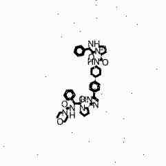 N[C@@H](C(=O)N1CCC[C@H]1C(=O)N[C@H]1CC[C@@H](c2ccc(-c3cnc([C@@H]4CCCN4C(=O)[C@H](NC(=O)N4CCOCC4)c4ccccc4)[nH]3)cc2)CC1)c1ccccc1